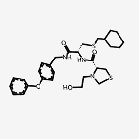 O=C(NCc1ccc(Oc2ccccc2)cc1)[C@H](CSCC1CCCCC1)NC(=O)[C@@H]1CSCN1CCO